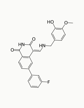 COc1ccc(CN/C=C2\C(=O)NC(=O)c3ccc(-c4cccc(F)c4)cc32)cc1O